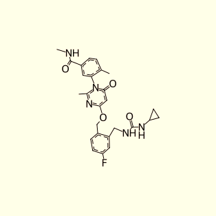 CNC(=O)c1ccc(C)c(-n2c(C)nc(OCc3ccc(F)cc3CNC(=O)NC3CC3)cc2=O)c1